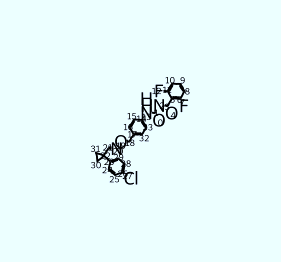 O=C(NC(=O)c1c(F)cccc1F)Nc1ccc(CON=CC2(c3ccc(Cl)cc3)CC2)cc1